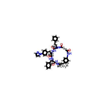 O=C1CCC(=O)N[C@H](CCc2ccccc2)C(=O)N[C@@H](Cc2ccc(-n3cccn3)cc2)C(=O)N[C@H](Cc2ccccc2)C(=O)N[C@H](C(=O)O)Cc2ccc(cc2)N1